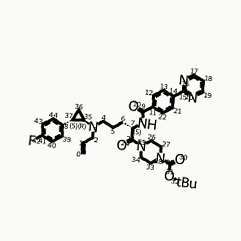 C=CCN(CCC[C@H](NC(=O)c1ccc(-c2ncccn2)cc1)C(=O)N1CCN(C(=O)OC(C)(C)C)CC1)[C@@H]1C[C@H]1c1ccc(F)cc1